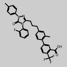 Cc1ccc(-n2nc(CCCc3ccc(-c4ccc(C(F)(F)F)c(C(=O)O)c4)c(C)c3)n(-c3ccccc3F)c2=O)cc1